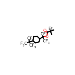 CCC(C)(C)C(=O)OC(C1CCC(C(C(F)(F)F)(C(F)(F)F)C(F)(F)F)CC1)(C(F)(F)F)C(F)(F)F